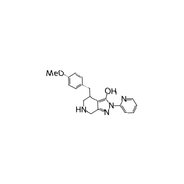 COc1ccc(CC2CNCc3nn(-c4ccccn4)c(O)c32)cc1